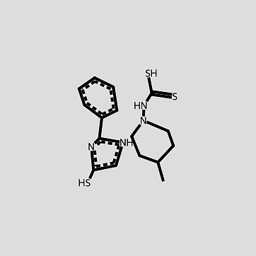 CC1CCN(NC(=S)S)CC1.Sc1c[nH]c(-c2ccccc2)n1